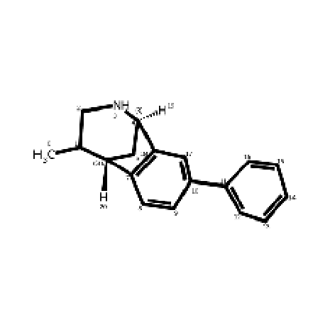 CC1CN[C@@H]2C[C@@H]1c1ccc(-c3ccccc3)cc12